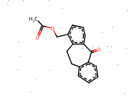 CC(=O)OCc1cccc2c1CCc1ccccc1C2=O